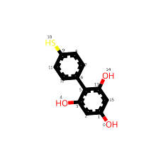 Oc1cc(O)c(-c2ccc(S)cc2)c(O)c1